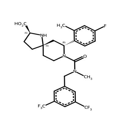 Cc1cc(F)ccc1[C@H]1C[C@]2(CC[C@@H](C(=O)O)N2)CCN1C(=O)N(C)Cc1cc(C(F)(F)F)cc(C(F)(F)F)c1